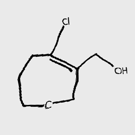 OCC1=C(Cl)CCCCC1